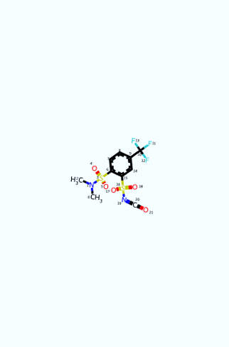 CN(C)S(=O)(=O)c1ccc(C(F)(F)F)cc1S(=O)(=O)N=C=O